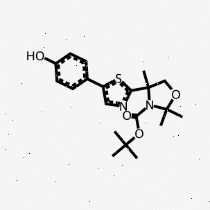 CC(C)(C)OC(=O)N1C(C)(C)OCC1(C)c1ncc(-c2ccc(O)cc2)s1